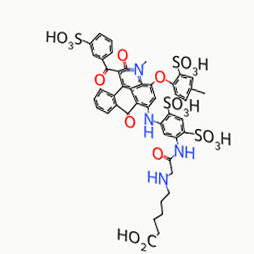 Cc1ccc(Oc2cc(Nc3cc(NC(=O)CNCCCCCC(=O)O)c(S(=O)(=O)O)cc3S(=O)(=O)O)c3c4c(c(C(=O)c5cccc(S(=O)(=O)O)c5)c(=O)n(C)c24)-c2ccccc2C3=O)c(S(=O)(=O)O)c1